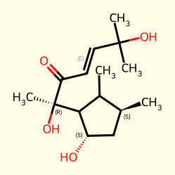 CC1C([C@@](C)(O)C(=O)/C=C/C(C)(C)O)[C@@H](O)C[C@@H]1C